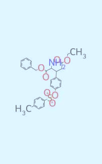 CCOC(=O)CC(c1ccc(OS(=O)(=O)c2ccc(C)cc2)cc1)C(N)C(=O)OCc1ccccc1